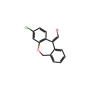 Clc1ccc2c(c1)OCc1ccccc1/C2=C/Br